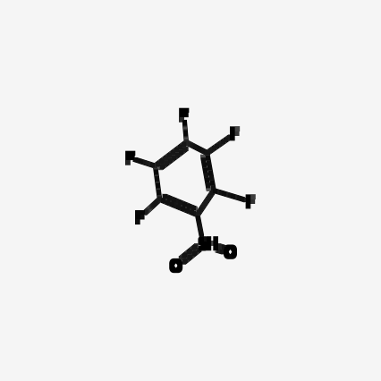 O=[SH](=O)c1c(F)c(F)c(F)c(F)c1F